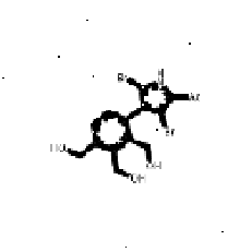 CC(=O)c1[nH]c(Br)c(-c2ccc(CO)c(CO)c2CO)c1Br